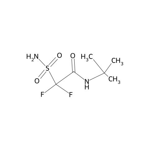 CC(C)(C)NC(=O)C(F)(F)S(N)(=O)=O